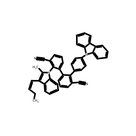 CC/C=C\c1c(C)n(-c2c(C#N)cccc2-c2cccc(C#N)c2-c2ccc(-n3c4ccccc4c4ccccc43)cc2)c2ccccc12